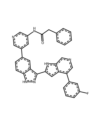 O=C(Cc1ccccc1)Nc1cncc(-c2ccc3[nH]nc(-c4cc5c(-c6cccc(F)c6)cncc5[nH]4)c3c2)c1